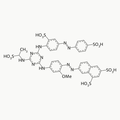 COc1cc(Nc2nc(Nc3ccc(N=Nc4ccc(S(=O)(=O)O)cc4)cc3S(=O)(=O)O)nc(NC(C)S(=O)(=O)O)n2)ccc1N=Nc1ccc2cc(S(=O)(=O)O)cc(S(=O)(=O)O)c2c1